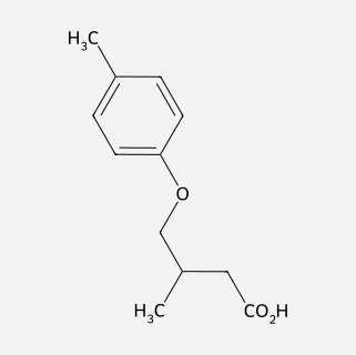 Cc1ccc(OCC(C)CC(=O)O)cc1